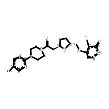 O=C(C[C@H]1CC[C@H](COc2cn[nH]c(=O)c2Cl)O1)N1CCN(c2ncc(Cl)cn2)CC1